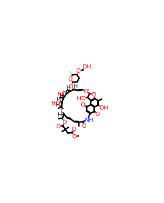 COC(=O)CC(C)(C)C(=O)OC(C)[C@H]1/C=C/C=C(/C)C(=O)NC2=CC(=O)c3c(c(O)c(C)c4c3C(O)[C@@](C)(O/C=C/[C@H](O[C@H]3CC[C@H](OCO)[C@@H](C)O3)[C@@H](C)[C@@H](O)[C@H](C)[C@H](O)[C@H](C)C1)O4)C2=O